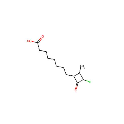 CC1C(Cl)C(=O)C1CCCCCCCC(=O)O